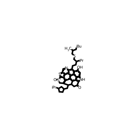 CCC(C)CC(C)CSCC(CCc1c2ncc3sc4c5c6c7c8c9c([nH]c%10cc(O)c1c(c%109)c7c2c35)C(=O)CC8C(CC1CCC(C(C)C)C1)C=6C[S+]4[O-])C(C)C